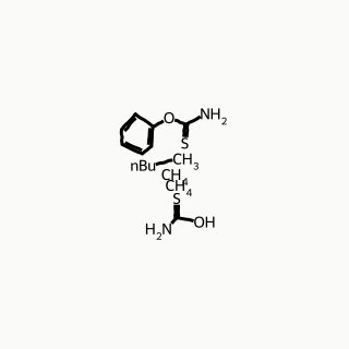 C.C.CCCCC.NC(=S)Oc1ccccc1.NC(O)=S